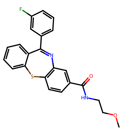 COCCNC(=O)c1ccc2c(c1)N=C(c1cccc(F)c1)c1ccccc1S2